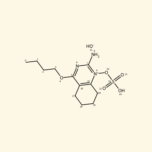 CCCCOc1nc(N)[n+](OS(=O)(=O)O)c2c1CCCC2.[OH-]